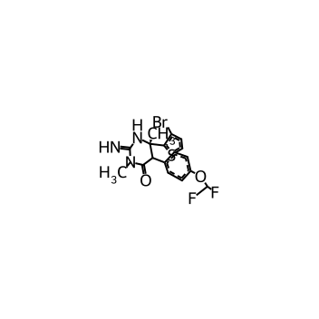 CN1C(=N)N[C@](C)(c2sccc2Br)C(c2ccc(OC(F)F)cc2)C1=O